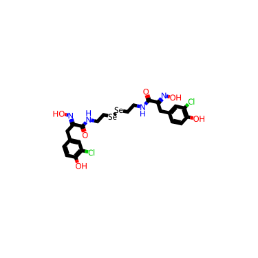 O=C(NCC[Se][Se]CCNC(=O)/C(Cc1ccc(O)c(Cl)c1)=N/O)/C(Cc1ccc(O)c(Cl)c1)=N/O